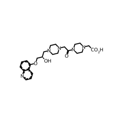 O=C(O)CN1CCN(C(=O)CN2CCN(C[C@@H](O)COc3cccc4ncccc34)CC2)CC1